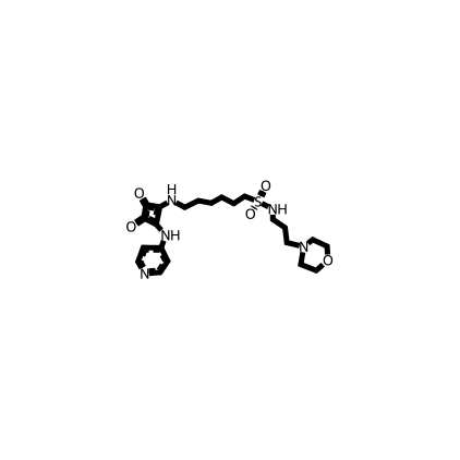 O=c1c(NCCCCCCS(=O)(=O)NCCCN2CCOCC2)c(Nc2ccncc2)c1=O